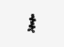 c1ccc(-c2cc(-c3ccccc3)cc(-n3c4ccccc4c4c3c3ccccc3n4-c3cnc4cc(-n5c6ccccc6c6c5c5ccccc5n6-c5ccc6ccccc6c5)cnc4c3)c2)cc1